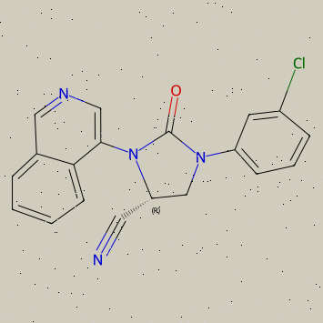 N#C[C@H]1CN(c2cccc(Cl)c2)C(=O)N1c1cncc2ccccc12